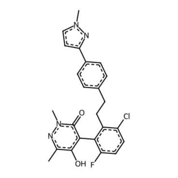 Cc1nn(C)c(=O)c(-c2c(F)ccc(Cl)c2CCc2ccc(-c3ccn(C)n3)cc2)c1O